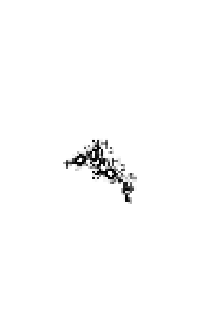 C#CCN(C)C(=O)COc1ccc(C(=O)c2sc(N(c3ccc(F)cc3)[C@H](C)C(N)=O)nc2N)cc1